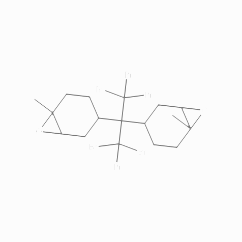 CC12CCC(C(C3CCC4(C)OC4C3)(C(Br)(Br)Br)C(Br)(Br)Br)CC1O2